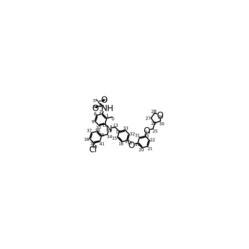 Cc1c(NS(C)(=O)=O)cccc1N(Cc1ccc(Oc2cccc(OCC3CCOC3)c2)cc1)Cc1cccc(Cl)c1